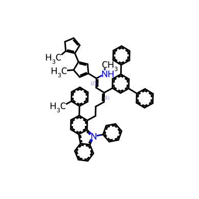 CN/C(=C\C(=C/CCc1c(-c2ccccc2C)ccc2c3ccccc3n(-c3ccccc3)c12)c1cc(-c2ccccc2)cc(-c2ccccc2)c1)C1=CC(C)C(C2=C(C)CC=C2)=C1